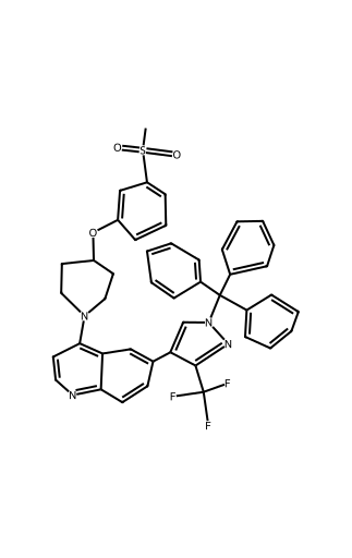 CS(=O)(=O)c1cccc(OC2CCN(c3ccnc4ccc(-c5cn(C(c6ccccc6)(c6ccccc6)c6ccccc6)nc5C(F)(F)F)cc34)CC2)c1